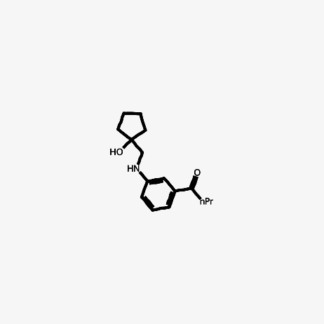 CCCC(=O)c1cccc(NCC2(O)CCCC2)c1